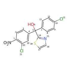 O=[N+]([O-])c1ccc(C(O)(c2ccc(Cl)cc2)c2nccs2)cc1Cl